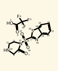 O=C(O)C(F)(F)F.O=C1CNCCN1S(=O)(=O)c1nc2ccccc2s1